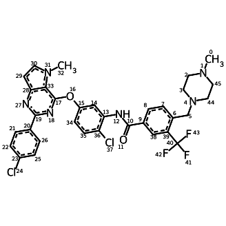 CN1CCN(Cc2ccc(C(=O)Nc3cc(Oc4nc(-c5ccc(Cl)cc5)nc5ccn(C)c45)ccc3Cl)cc2C(F)(F)F)CC1